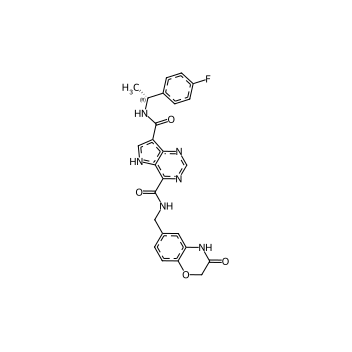 C[C@@H](NC(=O)c1c[nH]c2c(C(=O)NCc3ccc4c(c3)NC(=O)CO4)ncnc12)c1ccc(F)cc1